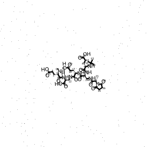 CN[C@@H](CCC(=O)O)C(=O)N[C@@H](CNC(=O)[C@H](CCC(=O)O)NC(=O)[C@H](CNC(=O)[C@H](C)N1C(=O)CCC1=O)NC(=O)[C@H](CCC(=O)O)NC(C)(C)C)C(=O)O